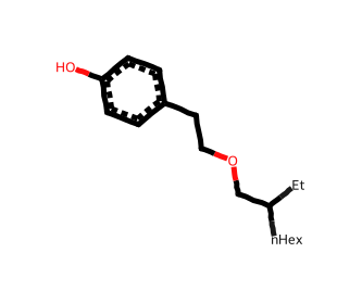 CCCCCCC(CC)COCCc1ccc(O)cc1